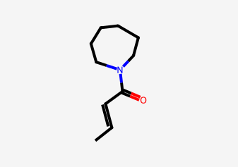 CC=CC(=O)N1CCCCCC1